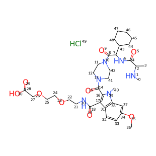 CNC(C)C(=O)NC(C(=O)N1CCN(C(=O)c2c(C(=O)NCCOCCOCC(=O)O)c3ccc(OC)cc3n2C)CC1)C1CCCCC1.Cl